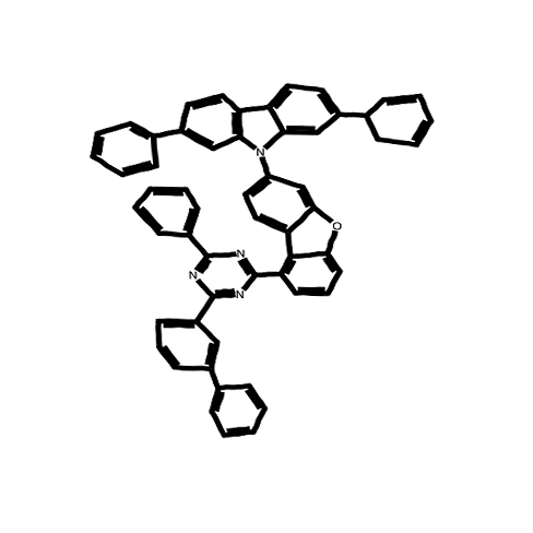 C1=CCC(c2ccc3c4ccc(-c5ccccc5)cc4n(-c4ccc5c(c4)oc4cccc(-c6nc(-c7ccccc7)nc(-c7cccc(-c8ccccc8)c7)n6)c45)c3c2)C=C1